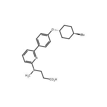 CN(CCC(=O)O)c1cccc(-c2ccc(O[C@H]3CC[C@H](C(C)(C)C)CC3)cc2)n1